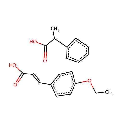 CC(C(=O)O)c1ccccc1.CCOc1ccc(C=CC(=O)O)cc1